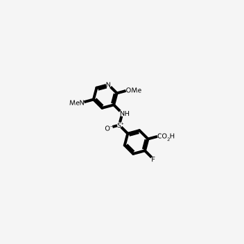 CNc1cnc(OC)c(N[S+]([O-])c2ccc(F)c(C(=O)O)c2)c1